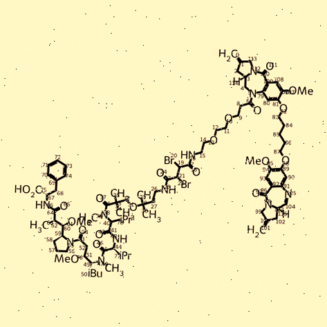 C=C1C[C@H]2CN(C(=O)CCOCCOCCNC(=O)C(Br)C(Br)C(=O)NCCC(C)(C)OCC(C)(C)C(=O)N(C)C(C(=O)N[C@H](C(=O)N(C)[C@@H]([C@@H](C)CC)[C@@H](CC(=O)N3CCC[C@H]3[C@H](OC)[C@@H](C)C(=O)N[C@@H](Cc3ccccc3)C(=O)O)OC)C(C)C)C(C)C)c3cc(OCCCCCOc4cc5c(cc4OC)C(=O)N4CC(=C)C[C@H]4C=N5)c(OC)cc3C(=O)N2C1